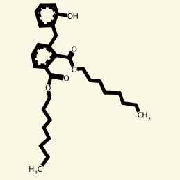 CCCCCCCCOC(=O)c1cccc(Cc2ccccc2O)c1C(=O)OCCCCCCCC